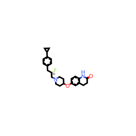 O=C1CCc2cc(OC3CCN(C[C@@H](F)Cc4ccc(C5CC5)cc4)CC3)ccc2N1